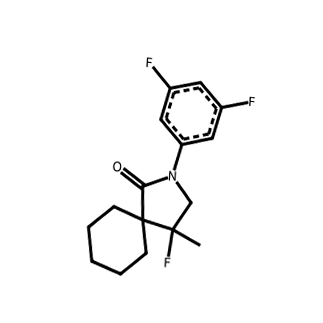 CC1(F)CN(c2cc(F)cc(F)c2)C(=O)C12CCCCC2